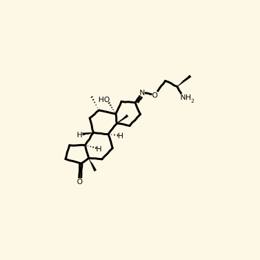 C[C@@H](N)CON=C1CC[C@]2(C)[C@H]3CC[C@]4(C)C(=O)CC[C@H]4[C@@H]3C[C@H](C)[C@@]2(O)C1